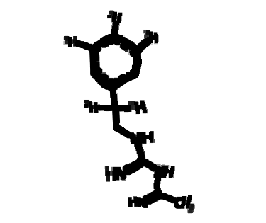 [2H]c1cc(C([2H])([2H])CNC(=N)NC(C)=N)cc([2H])c1[2H]